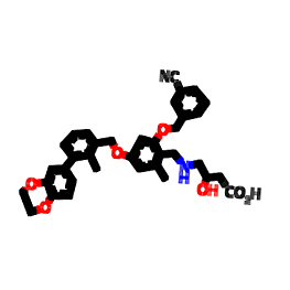 Cc1cc(OCc2cccc(-c3ccc4c(c3)OCCO4)c2C)cc(OCc2cccc(C#N)c2)c1CNCC(O)CC(=O)O